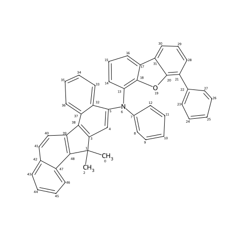 CC1(C)c2cc(N(c3ccccc3)c3cccc4c3oc3c(-c5ccccc5)cccc34)c3ccccc3c2-c2ccc3ccccc3c21